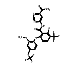 COc1cc(OC(F)(F)F)ccc1Oc1ccc(C(F)(F)F)c(F)c1C(=O)Nc1cc(C(N)=O)ncn1